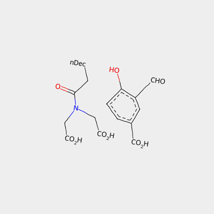 CCCCCCCCCCCC(=O)N(CC(=O)O)CC(=O)O.O=Cc1cc(C(=O)O)ccc1O